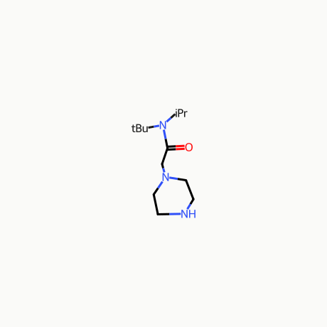 CC(C)N(C(=O)CN1CCNCC1)C(C)(C)C